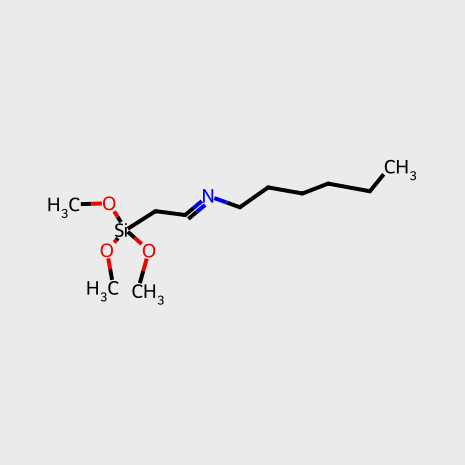 CCCCCCN=CC[Si](OC)(OC)OC